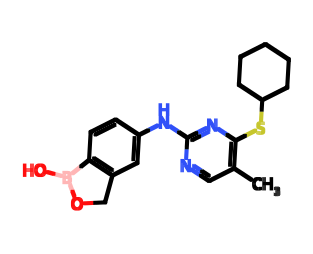 Cc1cnc(Nc2ccc3c(c2)COB3O)nc1SC1CCCCC1